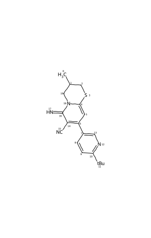 CC1CSc2cc(-c3ccc(C(C)(C)C)nc3)c(C#N)c(=N)n2C1